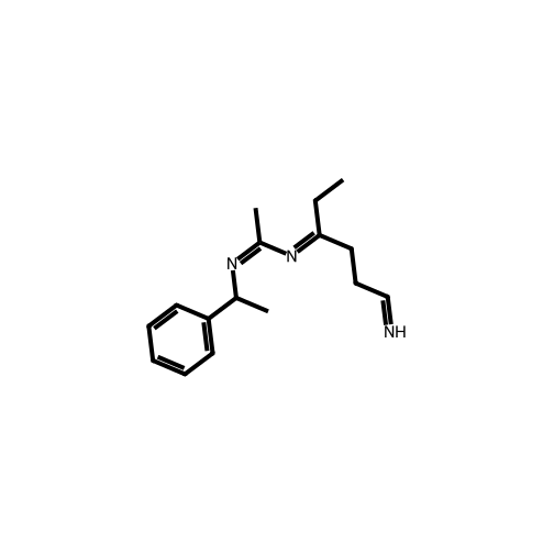 CC/C(CCC=N)=N\C(C)=N/C(C)c1ccccc1